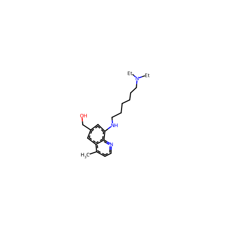 CCN(CC)CCCCCCNc1cc(CO)cc2c(C)ccnc12